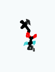 CCC(C)(C)COC(=O)C(F)(F)C(F)(F)F